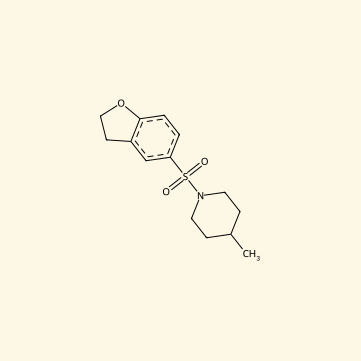 CC1CCN(S(=O)(=O)c2ccc3c(c2)CCO3)CC1